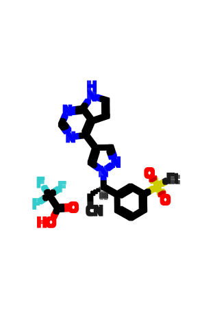 CCS(=O)(=O)c1cccc([C@H](CC#N)n2cc(-c3ncnc4[nH]ccc34)cn2)c1.O=C(O)C(F)(F)F